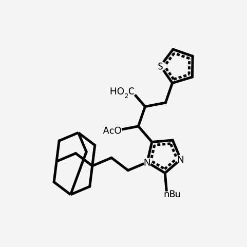 CCCCc1ncc(C(OC(C)=O)C(Cc2cccs2)C(=O)O)n1CCC12CC3CC(CC(C3)C1)C2